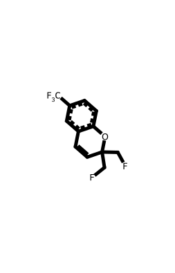 FCC1(CF)C=Cc2cc(C(F)(F)F)ccc2O1